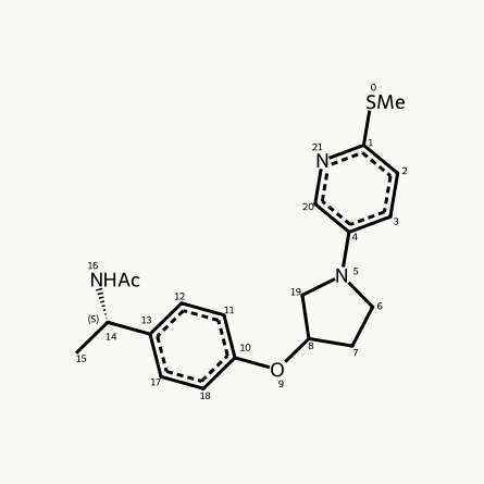 CSc1ccc(N2CCC(Oc3ccc([C@H](C)NC(C)=O)cc3)C2)cn1